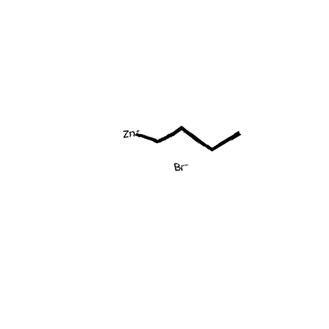 CCC[CH2][Zn+].[Br-]